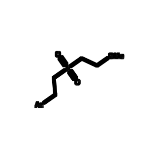 COCCS(=O)(=O)CCC(C)=O